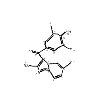 CCc1nc2ccc(F)cn2c1C(=O)c1cc(F)c(O)c(I)c1